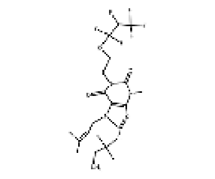 CC(C)=CCn1c(SC(C)(C)CN)nc2c1c(=O)n(CCOC(F)(F)C(F)C(F)(F)F)c(=O)n2C